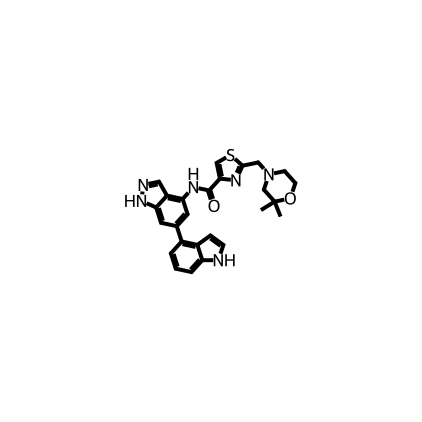 CC1(C)CN(Cc2nc(C(=O)Nc3cc(-c4cccc5[nH]ccc45)cc4[nH]ncc34)cs2)CCO1